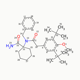 COc1c(C(C)(C)C)cc(CC(=O)N(Cc2ccccc2)C2(C(N)=O)CCCCC2)cc1C(C)(C)C